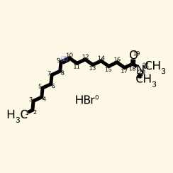 Br.CCCCCCCC/C=C\CCCCCCCC(=O)N(C)C